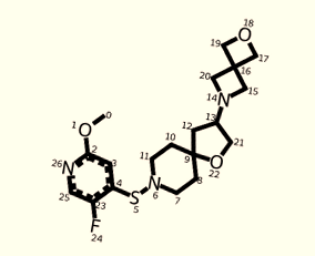 COc1cc(SN2CCC3(CC2)CC(N2CC4(COC4)C2)CO3)c(F)cn1